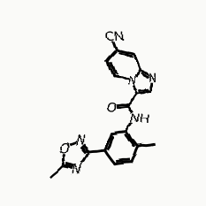 Cc1nc(-c2ccc(C)c(NC(=O)c3cnc4cc(C#N)ccn34)c2)no1